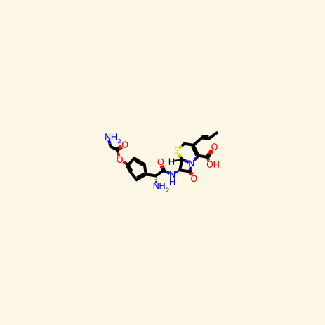 CC=CC1=C(C(=O)O)N2C(=O)[C@@H](NC(=O)[C@H](N)c3ccc(OC(=O)CN)cc3)[C@@H]2SC1